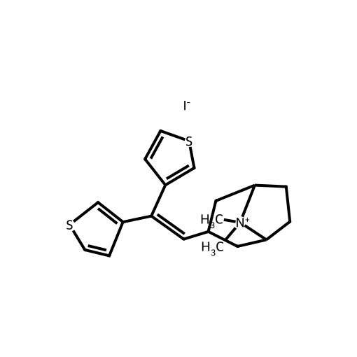 C[N+]1(C)C2CCC1CC(C=C(c1ccsc1)c1ccsc1)C2.[I-]